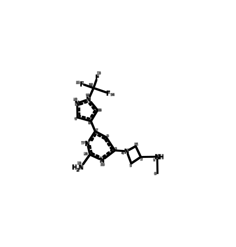 CNC1CN(c2cc(-c3cnn(C(F)(F)F)c3)nc(N)n2)C1